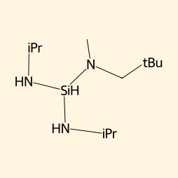 CC(C)N[SiH](NC(C)C)N(C)CC(C)(C)C